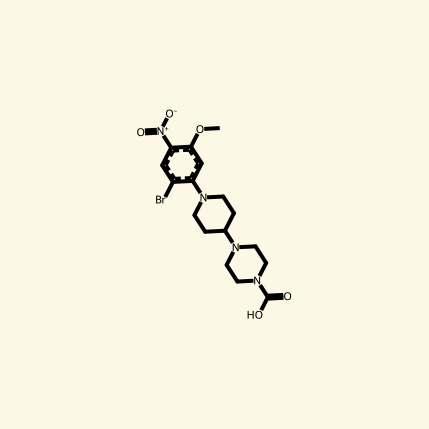 COc1cc(N2CCC(N3CCN(C(=O)O)CC3)CC2)c(Br)cc1[N+](=O)[O-]